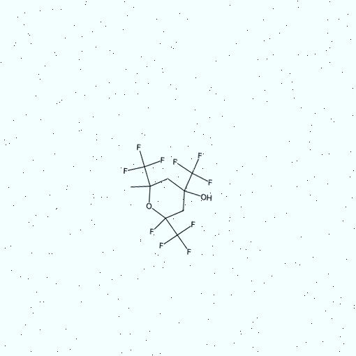 CC1(C(F)(F)F)CC(O)(C(F)(F)F)CC(F)(C(F)(F)F)O1